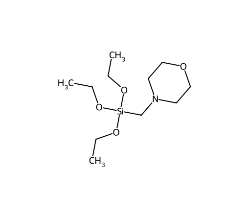 CCO[Si](CN1CCOCC1)(OCC)OCC